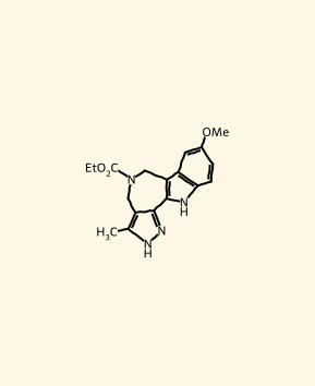 CCOC(=O)N1Cc2c(n[nH]c2C)-c2[nH]c3ccc(OC)cc3c2C1